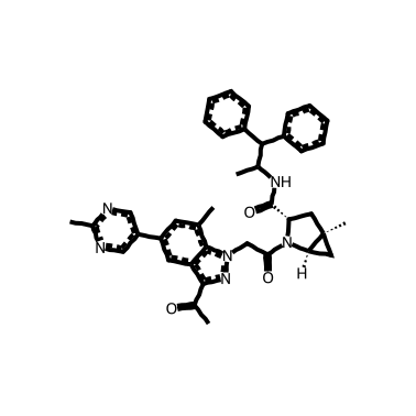 CC(=O)c1nn(CC(=O)N2[C@H](C(=O)NC(C)C(c3ccccc3)c3ccccc3)C[C@@]3(C)C[C@@H]23)c2c(C)cc(-c3cnc(C)nc3)cc12